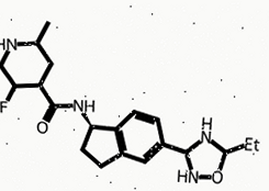 CCC1NC(c2ccc3c(c2)CC[C@H]3NC(=O)C2CC(C)NCC2F)NO1